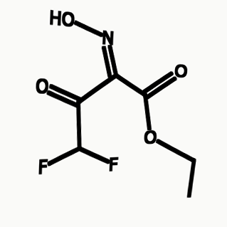 CCOC(=O)/C(=N/O)C(=O)C(F)F